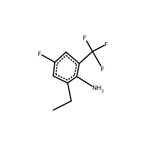 CCc1cc(F)cc(C(F)(F)F)c1N